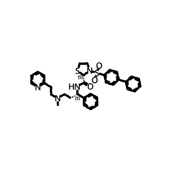 CN(CCc1ccccn1)CC[C@H](NC(=O)[C@@H]1SCCN1S(=O)(=O)c1ccc(-c2ccccc2)cc1)c1ccccc1